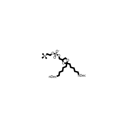 CCCCCCCCCCCCCCCC1(CCCCCCCCCCCCCCC)OCC(COP(=O)([O-])OCC[N+](C)(C)C)O1